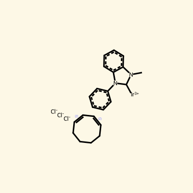 C1=C\CCCC\C=C/1.CN1c2ccccc2N(c2ccccc2)[CH]1[Ir+3].[Cl-].[Cl-].[Cl-]